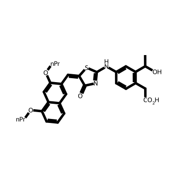 CCCOc1cc2c(OCCC)cccc2cc1C=C1SC(Nc2ccc(CC(=O)O)c(C(C)O)c2)=NC1=O